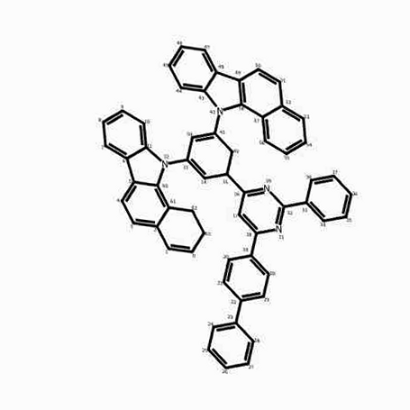 C1=Cc2ccc3c4ccccc4n(C4=CC(c5cc(-c6ccc(-c7ccccc7)cc6)nc(-c6ccccc6)n5)CC(n5c6ccccc6c6ccc7ccccc7c65)=C4)c3c2CC1